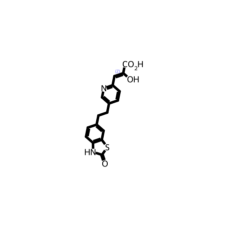 O=C(O)/C(O)=C/c1ccc(CCc2ccc3[nH]c(=O)sc3c2)cn1